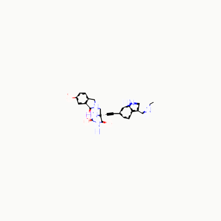 CC/N=C\c1c[nH]c2cc(C#C[C@]3(CN4Cc5ccc(OC)cc5C4=O)NC(=O)NC3=O)ccc12